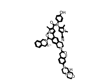 Cc1c(N(C(=O)c2cc(-c3cc4c(cc3C(=O)N3Cc5ccccc5C[C@H]3C)CN(C(=O)Cc3ccc(N5CCN6CCOC[C@@H]6C5)cc3F)CC4)n(C)c2C)c2ccc(O)cc2)cc(C#N)n1C